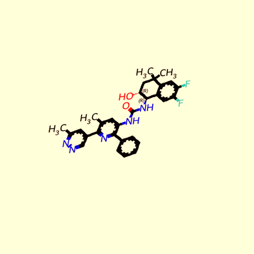 Cc1cc(-c2nc(-c3ccccc3)c(NC(=O)N[C@@H]3c4cc(F)c(F)cc4C(C)(C)C[C@H]3O)cc2C)cnn1